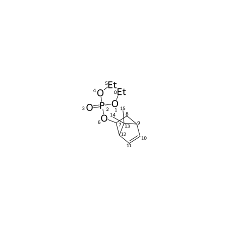 CCOP(=O)(OCC)OC1CC2C=CC1C2(C)C